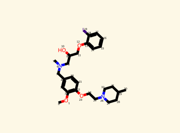 COc1cc(CN(C)CC(O)COc2ccccc2I)ccc1OCCN1CCC(C)CC1